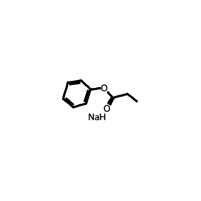 CCC(=O)Oc1ccccc1.[NaH]